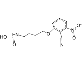 N#Cc1c(OCCCCNC(=O)O)cccc1[N+](=O)[O-]